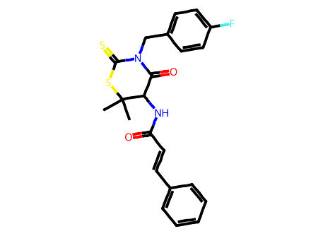 CC1(C)SC(=S)N(Cc2ccc(F)cc2)C(=O)C1NC(=O)C=Cc1ccccc1